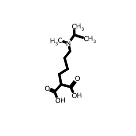 CC(C)N(C)CCCCC(C(=O)O)C(=O)O